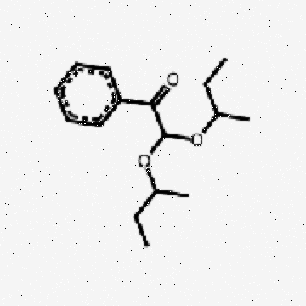 CCC(C)OC(OC(C)CC)C(=O)c1ccccc1